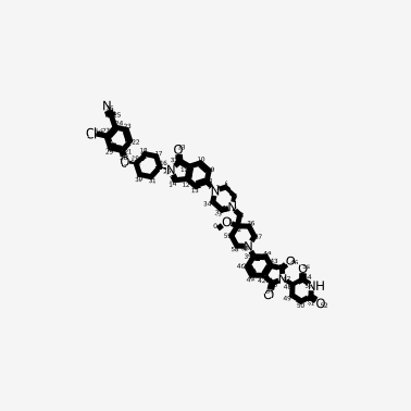 COC1(CN2CCN(c3ccc4c(c3)CN([C@H]3CC[C@H](Oc5ccc(C#N)c(Cl)c5)CC3)C4=O)CC2)CCN(c2ccc3c(c2)C(=O)N(C2CCC(=O)NC2=O)C3=O)CC1